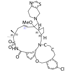 COC1(CN2CCc3ncsc3C2)/C=C/C[C@H](C)[C@@H](C)S(=O)(=O)NC(=O)c2ccc3c(c2)N(CCCCc2cc(Cl)ccc2CO3)C[C@@H]2CC[C@H]21